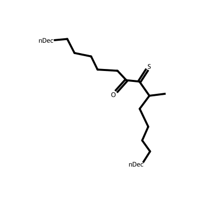 CCCCCCCCCCCCCCCC(=O)C(=S)C(C)CCCCCCCCCCCCCC